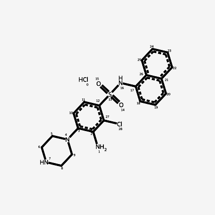 Cl.Nc1c(N2CCNCC2)ccc(S(=O)(=O)Nc2cccc3ccccc23)c1Cl